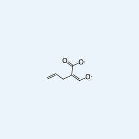 C=CCC(=C[O])C([O])=O